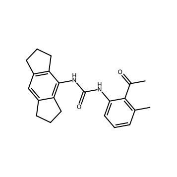 CC(=O)c1c(C)cccc1NC(=O)Nc1c2c(cc3c1CCC3)CCC2